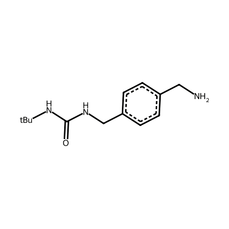 CC(C)(C)NC(=O)NCc1ccc(CN)cc1